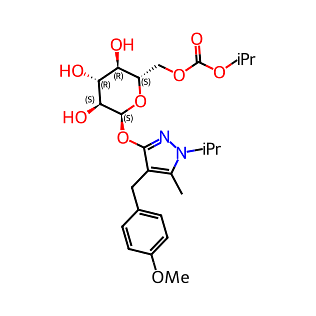 COc1ccc(Cc2c(O[C@@H]3O[C@@H](COC(=O)OC(C)C)[C@H](O)[C@@H](O)[C@@H]3O)nn(C(C)C)c2C)cc1